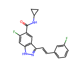 O=C(NC1CC1)c1cc2c(C=Cc3cccc(F)c3)n[nH]c2cc1F